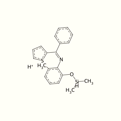 Cc1cccc(O[SiH](C)C)c1N=C(c1ccccc1)c1cccs1.[H+]